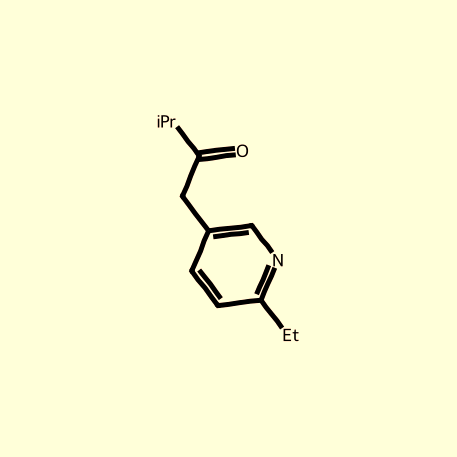 CCc1ccc(CC(=O)C(C)C)cn1